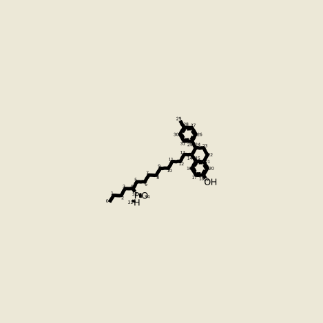 CCCCC(CCCCCCCCCC1c2ccc(O)cc2CCC1c1ccc(C)cc1)[PH](C)=O